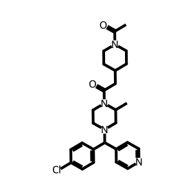 CC(=O)N1CCC(CC(=O)N2CCN(C(c3ccncc3)c3ccc(Cl)cc3)CC2C)CC1